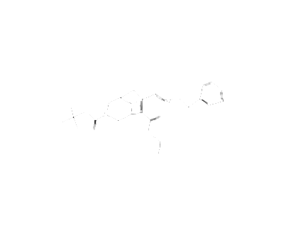 CCOC(=O)C1=C(/C=N/OCc2ccccc2)CC2CN(C(=O)OC(C)(C)C)CC1N2C